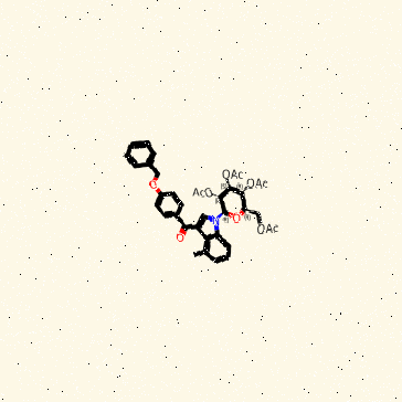 CC(=O)OC[C@H]1O[C@@H](n2cc(C(=O)c3ccc(OCc4ccccc4)cc3)c3c(C)cccc32)[C@H](OC(C)=O)[C@@H](OC(C)=O)[C@@H]1OC(C)=O